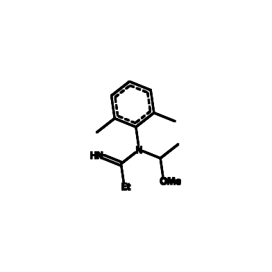 CCC(=N)N(c1c(C)cccc1C)C(C)OC